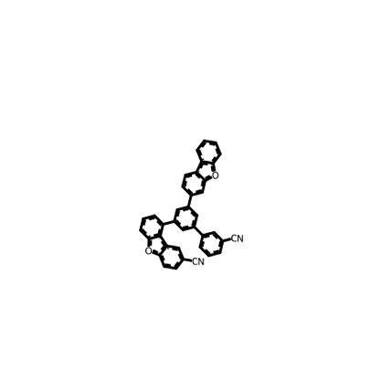 N#Cc1cccc(-c2cc(-c3ccc4c(c3)oc3ccccc34)cc(-c3cccc4oc5ccc(C#N)cc5c34)c2)c1